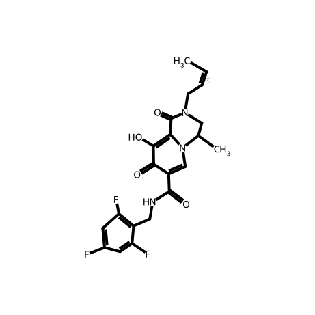 C/C=C\CN1CC(C)n2cc(C(=O)NCc3c(F)cc(F)cc3F)c(=O)c(O)c2C1=O